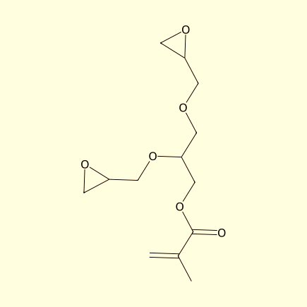 C=C(C)C(=O)OCC(COCC1CO1)OCC1CO1